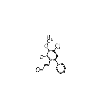 COc1c(Cl)cc(-c2ccccc2)c(C=CC=O)c1Cl